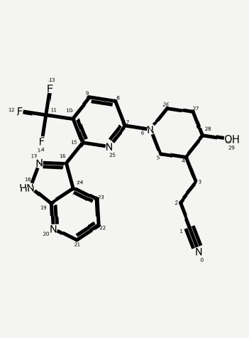 N#CCCC1CN(c2ccc(C(F)(F)F)c(-c3n[nH]c4ncccc34)n2)CCC1O